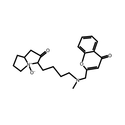 CN(CCCCC1C(=O)CC2CCC[N+]21[O-])Cc1cc(=O)c2ccccc2o1